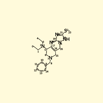 CCN(CC)C1CN(Cc2ccccc2)CC2=C1N=C1N=C(SC)NN1C2